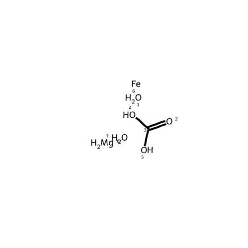 O.O.O=C(O)O.[Fe].[MgH2]